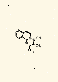 CCC(C)N(C)n1ccc2ncccc2c1=N